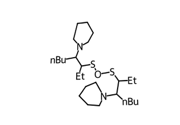 CCCCC(C(CC)SOSC(CC)C(CCCC)N1CCCCC1)N1CCCCC1